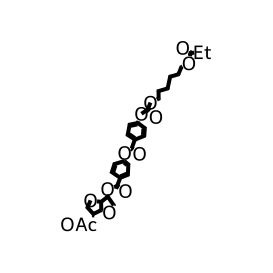 CCC(=O)OCCCCCCOC(=O)Oc1ccc(C(=O)Oc2ccc(C(=O)O[C@H]3COC4C3OC[C@@H]4OC(C)=O)cc2)cc1